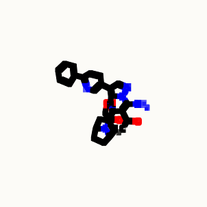 CC(=O)c1c(C2CC3CCC(C2)N3C(=O)CO)nc2c(-c3ccc(-c4ccccc4)nc3)cnn2c1N